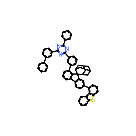 c1ccc(-c2cccc(-c3nc(-c4ccccc4)nc(-c4cccc(-c5cccc6c5C5(c7cc(-c8cccc9sc%10ccccc%10c89)ccc7-6)C6CC7CC(C6)CC5C7)c4)n3)c2)cc1